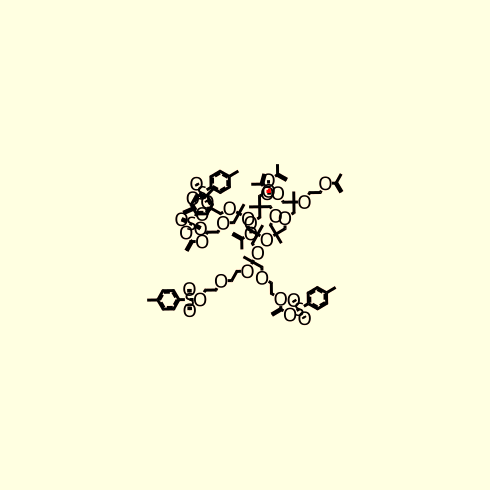 C=C(C)OCCOC(C)(COCC(C)(COCC(C)(COOC(=C)C)COOC(=C)C)OC(C)(COC(C)(COCCOC(=C)OS(=O)(=O)c1ccc(C)cc1)OCCOCCOS(=O)(=O)c1ccc(C)cc1)COC(C)(COCCOC(=C)OS(=O)(=O)c1ccc(C)cc1)OCCOC(=C)OS(=O)(=O)c1ccc(C)cc1)COOC(=C)C